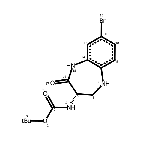 CC(C)(C)OC(=O)N[C@H]1CNc2ccc(Br)cc2NC1=O